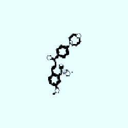 COc1ccc(/C=C/C(=O)c2ccc(N3CCOCC3)cc2)c([N+](=O)[O-])c1